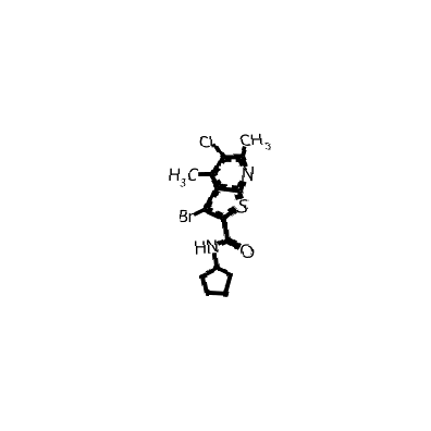 Cc1nc2sc(C(=O)NC3CCCC3)c(Br)c2c(C)c1Cl